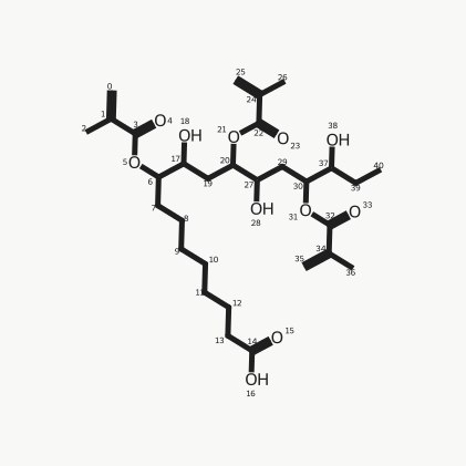 C=C(C)C(=O)OC(CCCCCCCC(=O)O)C(O)CC(OC(=O)C(=C)C)C(O)CC(OC(=O)C(=C)C)C(O)CC